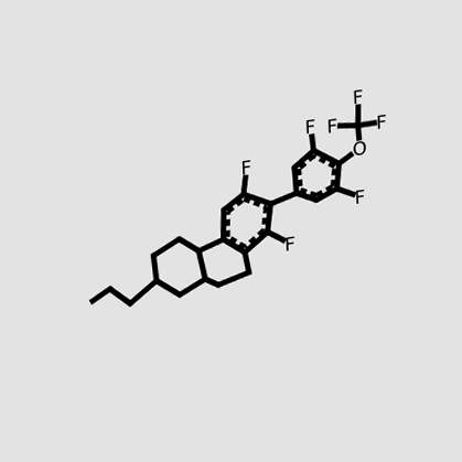 CCCC1CCC2c3cc(F)c(-c4cc(F)c(OC(F)(F)F)c(F)c4)c(F)c3CCC2C1